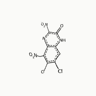 O=c1[nH]c2cc(Cl)c(Cl)c([N+](=O)[O-])c2nc1[N+](=O)[O-]